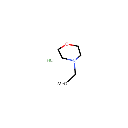 COCN1CCOCC1.Cl